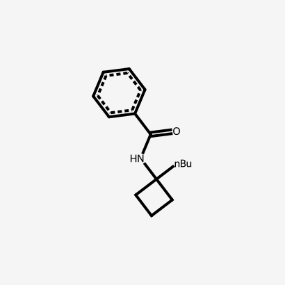 CCCCC1(NC(=O)c2ccccc2)CCC1